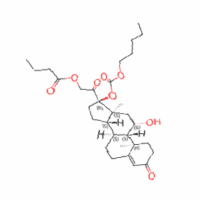 CCCCCOC(=O)O[C@]1(C(=O)COC(=O)CCC)CC[C@H]2[C@@H]3CCC4=CC(=O)CC[C@]4(C)[C@H]3[C@@H](O)C[C@@]21C